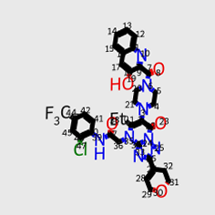 CCc1c(N2CCN(C(=O)c3nc4ccccc4cc3O)CC2)c(=O)n2nc(C3=CCOCC3)nc2n1CC(=O)Nc1ccc(C(F)(F)F)cc1Cl